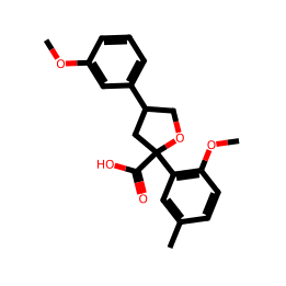 COc1cccc(C2COC(C(=O)O)(c3cc(C)ccc3OC)C2)c1